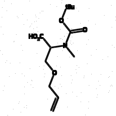 C=CCOCC(C(=O)O)N(C)C(=O)OC(C)(C)C